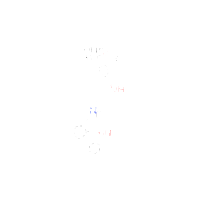 CC(C)(OC=O)c1ccc(C(O)CCCN2CCC(C(O)(c3ccccc3)c3ccccc3)CC2)cc1